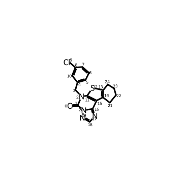 O=c1n(Cc2cccc(Cl)c2)c2sc3c(c2c2ncnn12)CCCC3